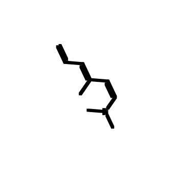 C=C/C=C(C)/C=C\N(C)C